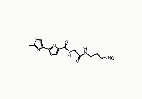 Cc1nc(-c2nc(C(=O)NCC(=O)NCCCC=O)cs2)cs1